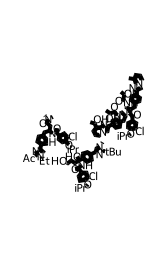 CC(C)Oc1ccc(C(=O)NC(O)(CCCO)c2ccc(-c3cn(C)c(C(C)(C)C)n3)cc2)cc1Cl.CCn1cc(-c2ccc(CC(CC(=O)N(C)C)NC(=O)c3ccc(OC(C)C)c(Cl)c3)cc2)nc1C(C)=O.Cc1cccn2cc(-c3ccc(CC(CNC(=O)C(C)O)N(C(=O)c4ccc(OC(C)C)c(Cl)c4)C(CNC(=O)C(C)O)Cc4ccc(-c5cn6cccc(C(C)O)c6n5)cc4)cc3)nc12